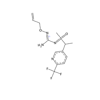 C=CCO/N=C(\N)N=S(C)(=O)C(C)c1ccc(C(F)(F)F)nc1